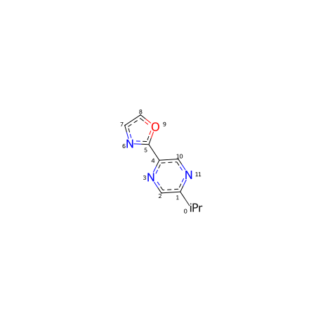 CC(C)c1cnc(-c2ncco2)cn1